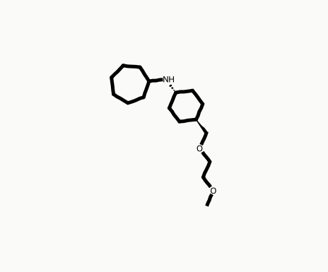 COCCOC[C@H]1CC[C@H](NC2CCCCCC2)CC1